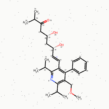 COCc1c(C(C)C)nc(C(C)C)c(/C=C/[C@@H](O)C[C@@H](O)CC(=O)C(C)C)c1-c1ccccc1